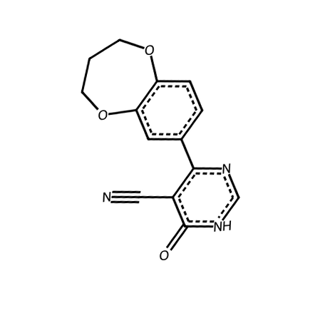 N#Cc1c(-c2ccc3c(c2)OCCCO3)nc[nH]c1=O